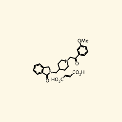 COc1cccc(C(=O)CN2CCC(CN3Cc4ccccc4C3=O)CC2)c1.O=C(O)C=CC(=O)O